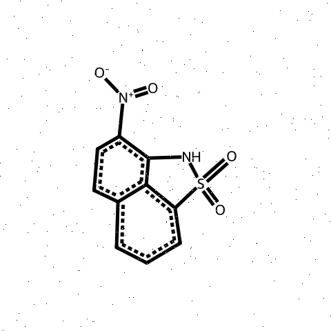 O=[N+]([O-])c1ccc2cccc3c2c1NS3(=O)=O